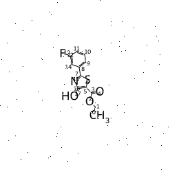 CCOC(=O)c1sc(-c2cccc(F)c2)nc1O